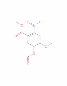 COC(=O)C1=C([N+](=O)[O-])C=C(OC)C(O[C]=O)C1